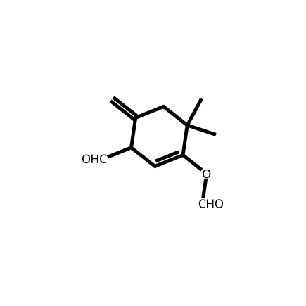 C=C1CC(C)(C)C(OC=O)=CC1C=O